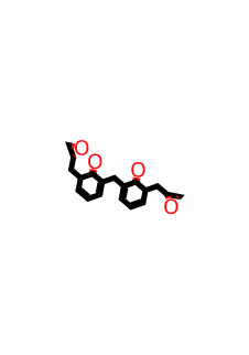 O=C1C(CC2=CC=CC(CC3CO3)C2=O)=CC=CC1CC1CO1